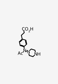 CC(=O)N(c1ccc(CCC(=O)O)cc1)N1CCNCC1